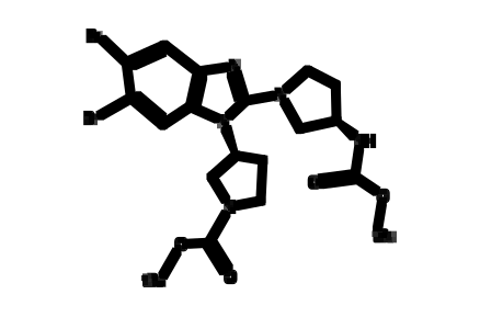 CC(C)(C)OC(=O)N[C@@H]1CCN(c2nc3cc(Br)c(Br)cc3n2[C@H]2CCN(C(=O)OC(C)(C)C)C2)C1